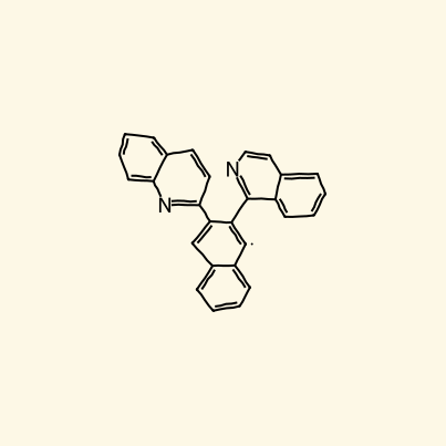 [c]1c(-c2nccc3ccccc23)c(-c2ccc3ccccc3n2)cc2ccccc12